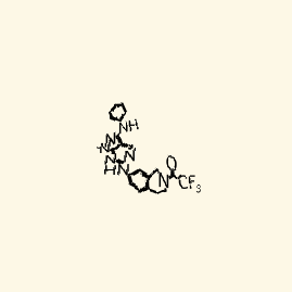 Cn1nc(Nc2ccccc2)c2cnc(Nc3ccc4c(c3)CN(C(=O)C(F)(F)F)CC4)nc21